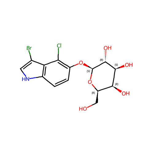 OC[C@H]1O[C@@H](Oc2ccc3[nH]cc(Br)c3c2Cl)[C@H](O)[C@@H](O)[C@H]1O